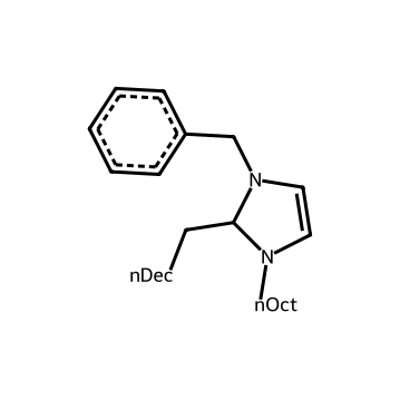 CCCCCCCCCCCC1N(CCCCCCCC)C=CN1Cc1ccccc1